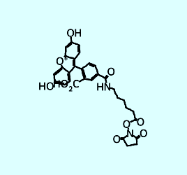 O=C(CCCCCNC(=O)c1ccc(-c2c3ccc(O)cc3[o+]c3cc(O)ccc23)c(C(=O)O)c1)ON1C(=O)CCC1=O